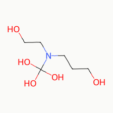 OCCCN(CCO)C(O)(O)O